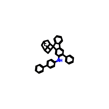 c1ccc(-c2ccc(Nc3cc4c(cc3-c3ccccc3)-c3ccccc3C43C4CC5CC6CC3C64C5)cc2)cc1